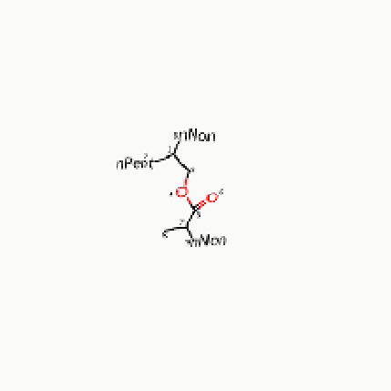 CCCCCCCCCC(CCCCC)COC(=O)C(C)CCCCCCCCC